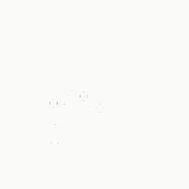 CCCCCOC(=O)CC(C(=O)OCCCCC)c1ccccc1